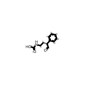 O=C[C@@H](CCNC(=O)O)c1ccccc1